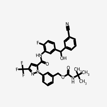 CC(C)(C)NC(=O)OCc1cccc(-n2nc(C(F)(F)F)cc2C(=O)Nc2cc(C(O)c3cccc(C#N)c3)ccc2F)c1